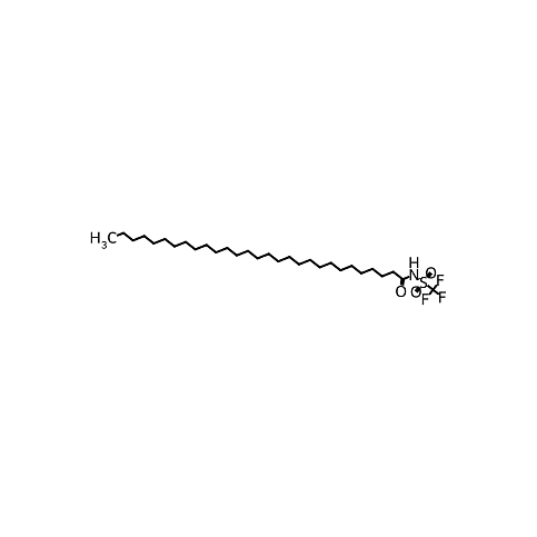 CCCCCCCCCCCCCCCCCCCCCCCCCCCCC(=O)NS(=O)(=O)C(F)(F)F